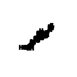 Cc1cc(OC[C@H](O)CO)cc(C)c1/C=C/S(=O)(=O)N1CCC(NC(=O)c2cccc(OCCCC(F)(F)C(F)(F)F)c2)(C(N)=O)CC1